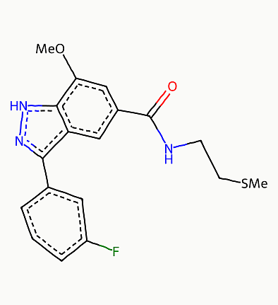 COc1cc(C(=O)NCCSC)cc2c(-c3cccc(F)c3)n[nH]c12